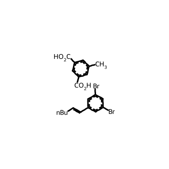 CCCCC=Cc1cc(Br)cc(Br)c1.Cc1cc(C(=O)O)cc(C(=O)O)c1